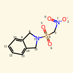 O=[N+]([O-])CS(=O)(=O)N1Cc2ccccc2C1